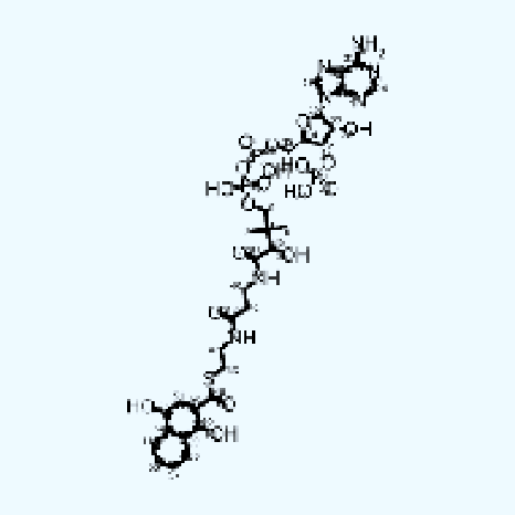 CC(C)(COP(=O)(O)OP(=O)(O)OC[C@H]1O[C@@H](n2cnc3c(N)ncnc32)[C@H](O)[C@@H]1OP(=O)(O)O)C(O)C(=O)NCCC(=O)NCCSC(=O)c1cc(O)c2ccccc2c1O